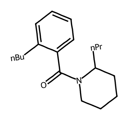 CCCCc1ccccc1C(=O)N1CCCCC1CCC